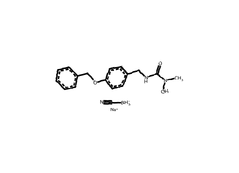 CN(O)C(=O)NCc1ccc(OCc2ccccc2)cc1.[BH3-]C#N.[Na+]